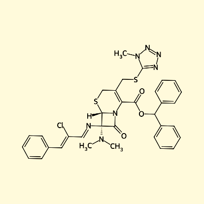 CN(C)[C@@]1(N=CC(Cl)=Cc2ccccc2)C(=O)N2C(C(=O)OC(c3ccccc3)c3ccccc3)=C(CSc3nnnn3C)CS[C@H]21